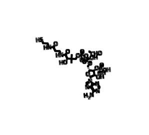 CC(C)(COP(=O)(O)OP(=O)(O)OC[C@H]1O[C@@H](n2cnc3c(N)ncnc32)[C@H](O)[C@@H]1OP(=O)(O)O)[C@@H](O)C(=O)NCCC(=O)NCCS.CC=O